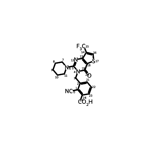 N#Cc1c(Cn2c(N3CCCCC3)nc3c(C(F)(F)F)csc3c2=O)cccc1C(=O)O